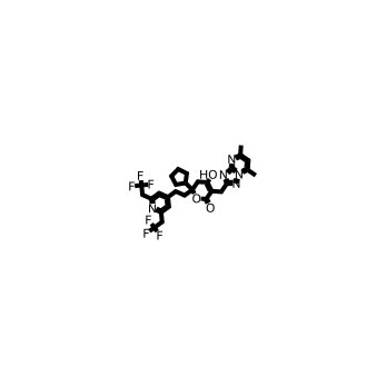 Cc1cc(C)n2nc(CC3=C(O)CC(CCc4cc(CC(F)(F)F)nc(CC(F)(F)F)c4)(C4CCCC4)OC3=O)nc2n1